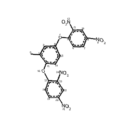 Cc1cc(Oc2ccc([N+](=O)[O-])cc2[N+](=O)[O-])ccc1Oc1ccc([N+](=O)[O-])cc1[N+](=O)[O-]